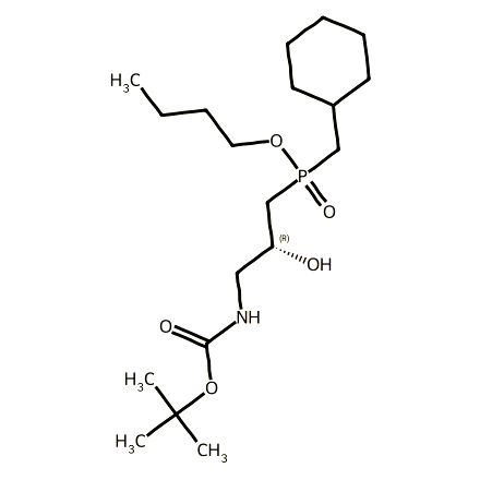 CCCCOP(=O)(CC1CCCCC1)C[C@H](O)CNC(=O)OC(C)(C)C